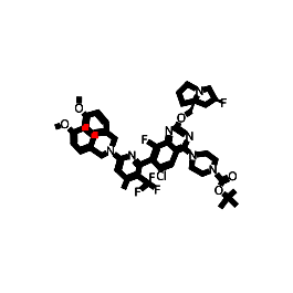 COc1ccc(CN(Cc2ccc(OC)cc2)c2cc(C)c(C(F)(F)F)c(-c3c(Cl)cc4c(N5CCN(C(=O)OC(C)(C)C)CC5)nc(OC[C@@]56CCCN5C[C@@H](F)C6)nc4c3F)n2)cc1